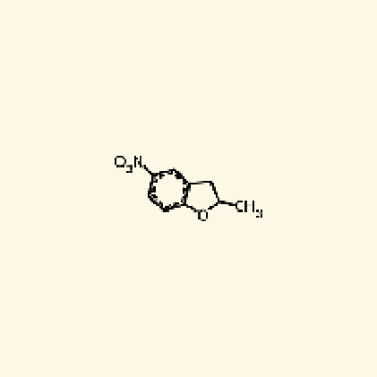 CC1Cc2cc([N+](=O)[O-])ccc2O1